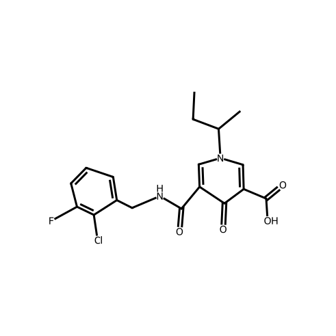 CCC(C)n1cc(C(=O)O)c(=O)c(C(=O)NCc2cccc(F)c2Cl)c1